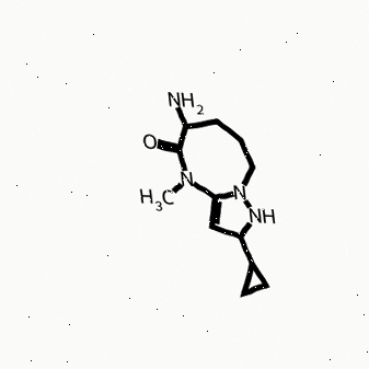 CN1C(=O)C(N)CCCN2NC(C3CC3)C=C21